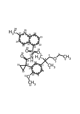 CCOCC(C)(C)c1ccc(OC)c(C2(C(=O)NS(=O)(=O)c3cccc4nc(C)ccc34)CC2)c1